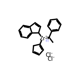 C/[C](c1ccccc1)=[Zr+2](\[C]1=CC=CC1)[CH]1C=Cc2ccccc21.[Cl-].[Cl-]